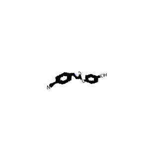 N#Cc1ccc(/C=C/C(=O)Oc2ccc(O)cc2)cc1